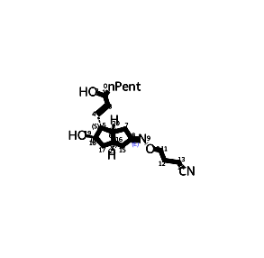 CCCCCC(O)C=C[C@@H]1[C@@H]2C/C(=N/OCCCC#N)C[C@H]2C[C@H]1O